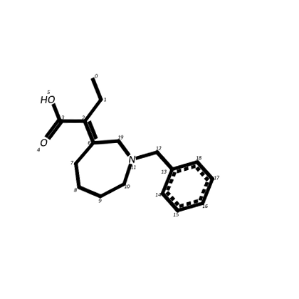 CC/C(C(=O)O)=C1/CCCCN(Cc2ccccc2)C1